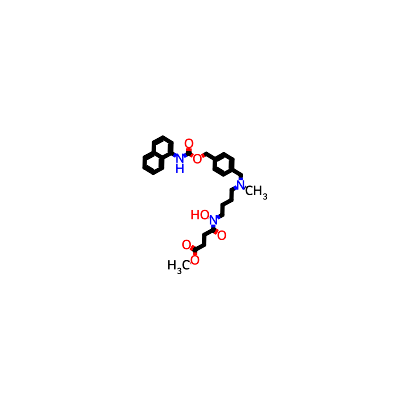 COC(=O)CCC(=O)N(O)CCCCN(C)Cc1ccc(COC(=O)Nc2cccc3ccccc23)cc1